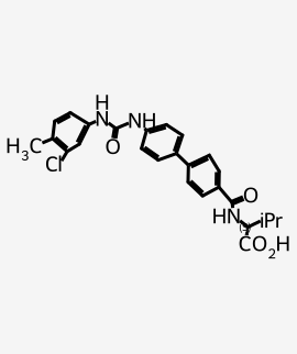 Cc1ccc(NC(=O)Nc2ccc(-c3ccc(C(=O)N[C@H](C(=O)O)C(C)C)cc3)cc2)cc1Cl